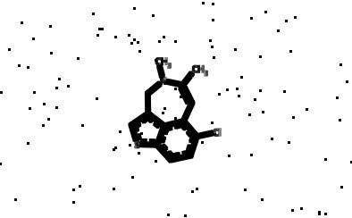 CC1=Cc2c(Cl)ccc3scc(c23)CN1C